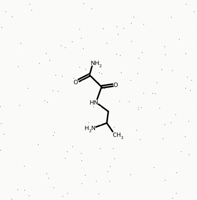 CC(N)CNC(=O)C(N)=O